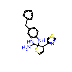 N=C(N)C1(Nc2ccc(Cc3ccccc3)cc2)SC=CC1c1cscn1